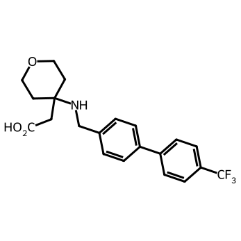 O=C(O)CC1(NCc2ccc(-c3ccc(C(F)(F)F)cc3)cc2)CCOCC1